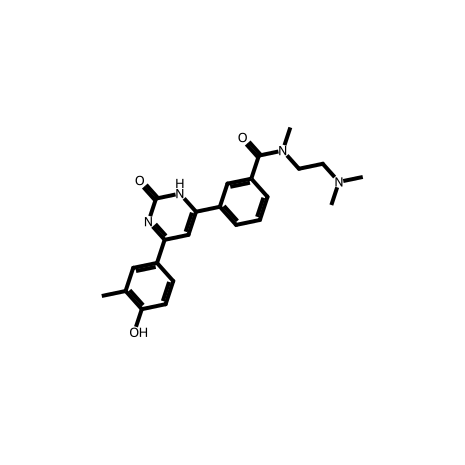 Cc1cc(-c2cc(-c3cccc(C(=O)N(C)CCN(C)C)c3)[nH]c(=O)n2)ccc1O